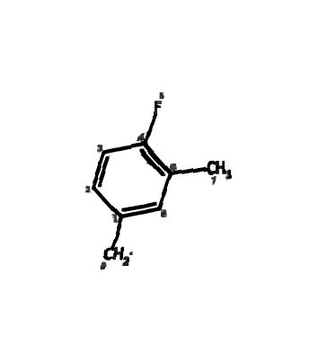 [CH2]c1ccc(F)c(C)c1